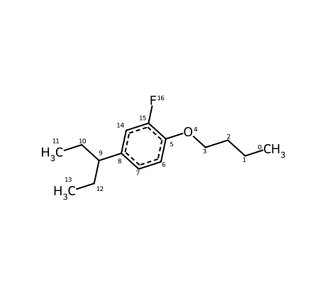 CCCCOc1ccc(C(CC)CC)cc1F